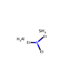 CCN(CC)CC.[AlH3].[SiH4]